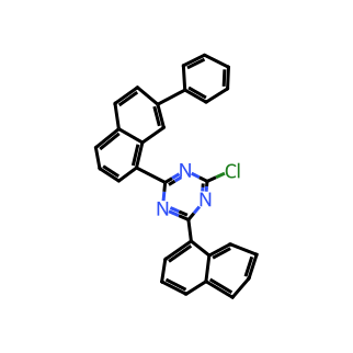 Clc1nc(-c2cccc3ccccc23)nc(-c2cccc3ccc(-c4ccccc4)cc23)n1